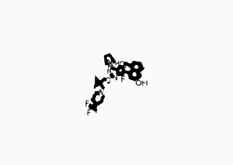 C#Cc1cccc2cc(O)cc(-c3c(C(C)C)cc4c(N5CC6CCC(C5)N6)nc(OCC5(CN6CCC7(CC6)CC7(F)F)CC5)nc4c3F)c12